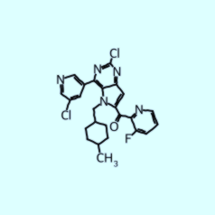 CC1CCC(Cn2c(C(=O)c3ncccc3F)cc3nc(Cl)nc(-c4cncc(Cl)c4)c32)CC1